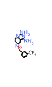 Nc1nc(N)c2c(n1)CC/C(=N/OCc1cccc(C(F)(F)F)c1)C2